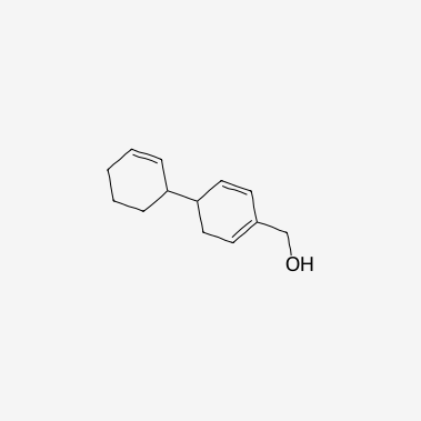 OCC1=CCC(C2C=CCCC2)C=C1